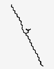 CCCCCCCCCCCCCCCCCCC(CCCCCCCCCCCCCCCC)C[C](C)C